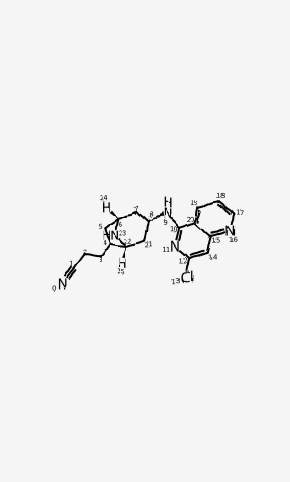 N#CCCC1C[C@@H]2C[C@@H](Nc3nc(Cl)cc4ncccc34)C[C@H]1N2